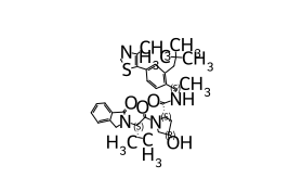 Cc1ncsc1-c1ccc([C@H](C)NC(=O)[C@@H]2C[C@@H](O)CN2C(=O)[C@H](C(C)C)N2Cc3ccccc3C2=O)c(CC(C)(C)C)c1